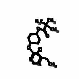 CCc1ncnc(OC2CCC(OC(=O)C(C)(C)C)CC2)c1Cl